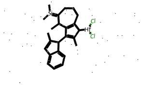 CC1=Cc2ccccc2C1C1=C(C)[CH]([Hf]([Cl])[Cl])C2=C1C(C)C(=[Si](C)C)CCC2